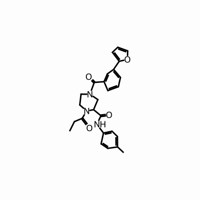 CCC(=O)N1CCN(C(=O)c2cccc(-c3ccco3)c2)CC1C(=O)Nc1ccc(C)cc1